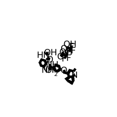 Cc1cc(COc2ccc(C(=O)N[C@H]3[C@@H](N)CCC[C@H]3C(=O)NO)cc2)c2ccccc2n1.O=C(O)C(F)(F)F.O=C(O)C(F)(F)F